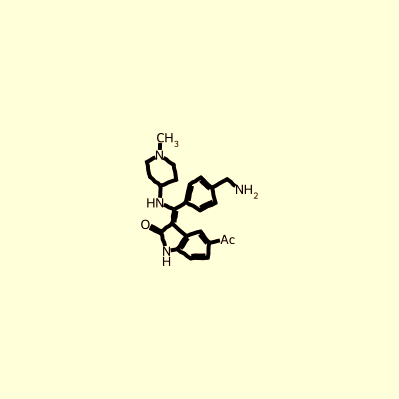 CC(=O)c1ccc2c(c1)/C(=C(/NC1CCN(C)CC1)c1ccc(CN)cc1)C(=O)N2